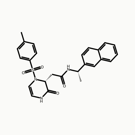 Cc1ccc(S(=O)(=O)N2C=CNC(=O)[C@H]2CC(=O)N[C@@H](C)c2ccc3ccccc3c2)cc1